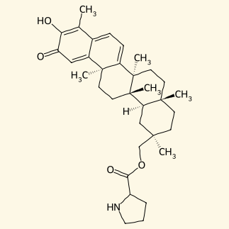 CC1=C(O)C(=O)C=C2C1=CC=C1[C@@]2(C)CC[C@@]2(C)[C@@H]3C[C@](C)(COC(=O)C4CCCN4)CC[C@@]3(C)CC[C@]12C